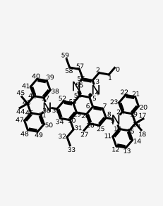 CCCc1nc2c3cc(N4c5ccccc5C(C)(C)c5ccccc54)cc(C)c3c3c(CCC)cc(N4c5ccccc5C(C)(C)c5ccccc54)cc3c2nc1CCC